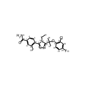 CCn1c(-c2ccc(C(N)=O)cc2F)nnc1C(C)(C)Oc1ccc(F)cc1Cl